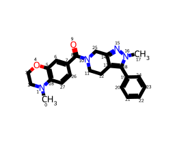 CN1CCOc2cc(C(=O)N3CCc4c(nn(C)c4-c4ccccc4)C3)ccc21